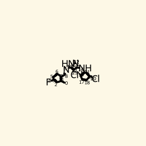 Cc1cc(F)ccc1/C=N/c1[nH]nc(Nc2cccc(Cl)c2)c1C#N